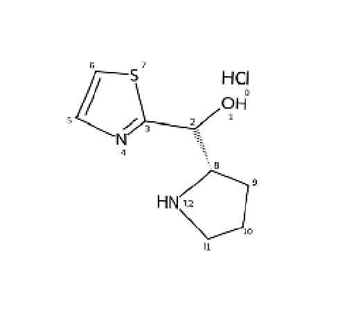 Cl.OC(c1nccs1)[C@@H]1CCCN1